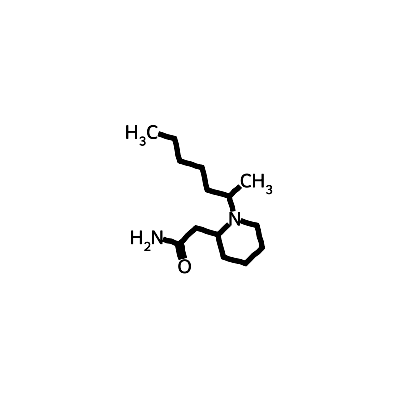 CCCCCC(C)N1CCCCC1CC(N)=O